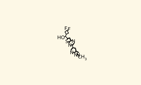 Cn1cc2cc(-c3cnc4cc(C(O)C5CC(F)(F)C5)sc4n3)cnc2n1